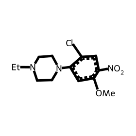 CCN1CCN(c2cc(OC)c([N+](=O)[O-])cc2Cl)CC1